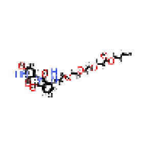 CCCCOC(=O)CCOCCOCCOCCNc1cccc2c1C(=O)N(C1CCC(=O)NC1=O)C2=O